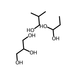 CC(C)CO.CCC(O)O.OCC(O)CO